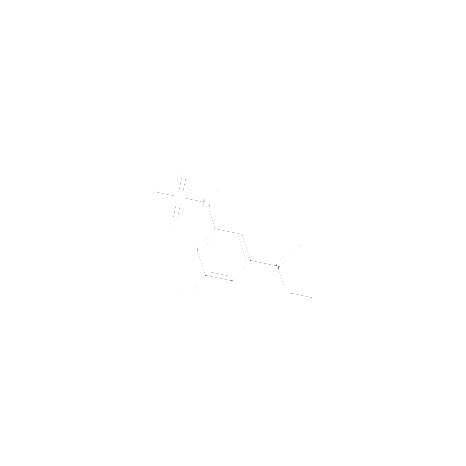 COC(=O)c1cc(Br)cc(N(C)S(C)(=O)=O)c1